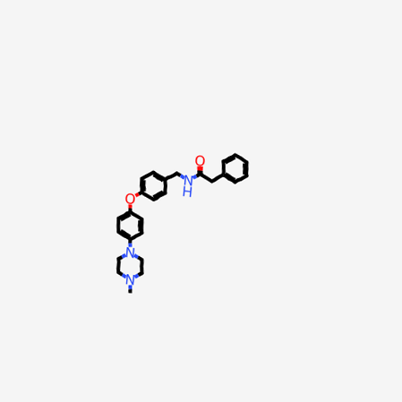 CN1CCN(c2ccc(Oc3ccc(CNC(=O)Cc4ccccc4)cc3)cc2)CC1